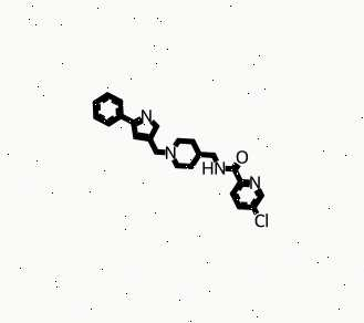 O=C(NCC1CCN(CC2=CC(c3ccccc3)=NC2)CC1)c1ccc(Cl)cn1